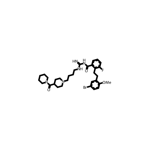 COc1ccc(Br)cc1CCc1c(F)cccc1C(=O)NC(=N)NCCCCN1CCC(C(=O)N2CCCCC2)CC1